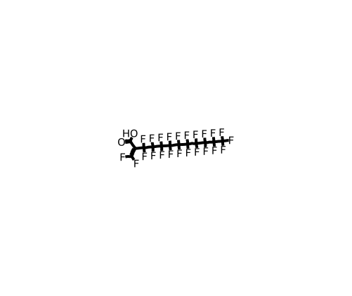 O=C(O)C(=C(F)F)C(F)(F)C(F)(F)C(F)(F)C(F)(F)C(F)(F)C(F)(F)C(F)(F)C(F)(F)C(F)(F)C(F)(F)F